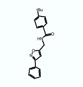 CC(C)(C)c1ccc(C(=O)NCc2cc(-c3ccccc3)no2)cc1